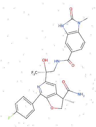 Cn1c(=O)[nH]c2cc(C(=O)NC[C@](O)(c3cc4c(c(-c5ccc(F)cc5)n3)OC[C@]4(C)C(N)=O)C(F)(F)F)ccc21